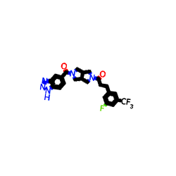 O=C(CCc1cc(F)cc(C(F)(F)F)c1)N1CC2CN(C(=O)c3ccc4[nH]nnc4c3)CC2C1